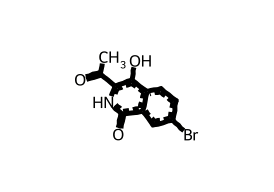 CC(=O)c1[nH]c(=O)c2cc(Br)ccc2c1O